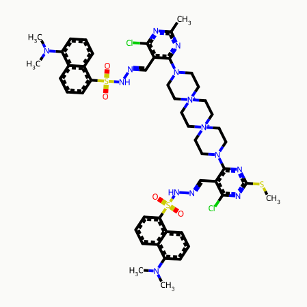 CSc1nc(Cl)c(C=NNS(=O)(=O)c2cccc3c(N(C)C)cccc23)c(N2CC[N+]3(CC2)CC[N+]2(CCN(c4nc(C)nc(Cl)c4C=NNS(=O)(=O)c4cccc5c(N(C)C)cccc45)CC2)CC3)n1